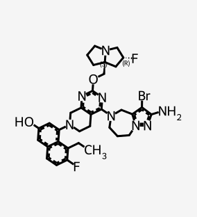 CCc1c(F)ccc2cc(O)cc(N3CCc4c(nc(OC[C@@]56CCCN5C[C@H](F)C6)nc4N4CCCn5nc(N)c(Br)c5C4)C3)c12